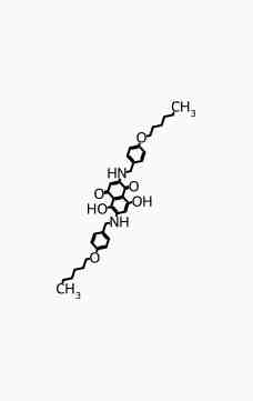 CCCCCCOc1ccc(CNC2=CC(=O)c3c(O)c(NCc4ccc(OCCCCCC)cc4)cc(O)c3C2=O)cc1